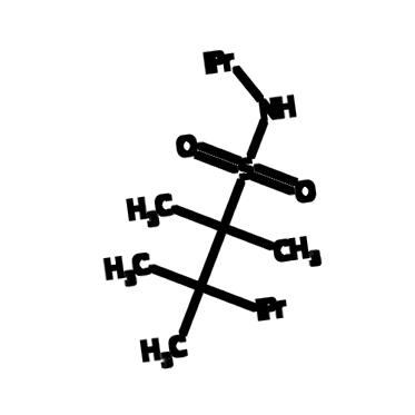 CC(C)NS(=O)(=O)C(C)(C)C(C)(C)C(C)C